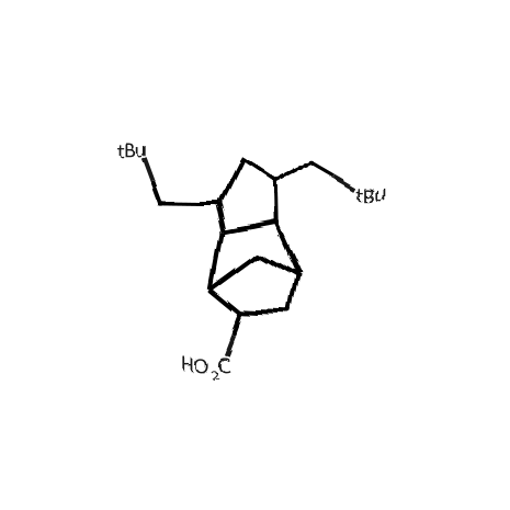 CC(C)(C)CC1CC(CC(C)(C)C)C2C3CC(CC3C(=O)O)C12